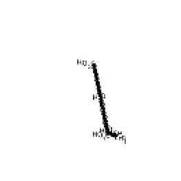 C=C(C)CC[C@H](NC(=O)CCOCCOCCOCCOCCNC(=O)CCCCCCCCCCCCCCC(=O)O)C(=O)O